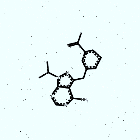 C=C(C)c1cccc(Cc2nn(C(C)C)c3ncnc(N)c23)c1